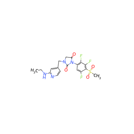 CCNc1cc(CN2CC(=O)N(c3cc(F)c(S(C)(=O)=O)c(F)c3F)C2=O)ccn1